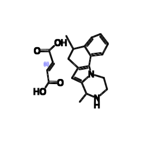 CC1Cc2cc3n(c2-c2ccccc21)CCNC3C.O=C(O)/C=C/C(=O)O